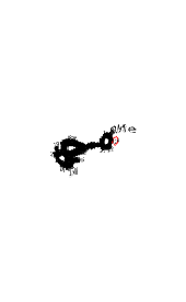 COc1ccc(C#Cc2ccc3c(c2)C(C)(C)CCC3(C)C)ccc1=O